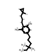 CCC(C)(C)CCCc1cc(O)c(CCCC2(I)CC2)c(O)c1